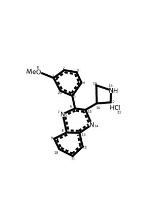 COc1cccc(-c2nc3ccccc3nc2C2CNC2)c1.Cl